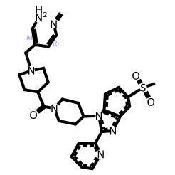 C=N/C=C\C(=C/N)CN1CCC(C(=O)N2CCC(n3c(-c4ccccn4)nc4cc(S(C)(=O)=O)ccc43)CC2)CC1